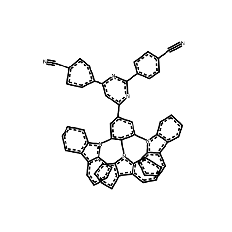 N#Cc1ccc(-c2cc(-c3cc(-n4c5ccccc5c5ccccc54)c(-n4c5ccccc5c5ccccc54)c(-n4c5ccccc5c5ccccc54)c3)nc(-c3ccc(C#N)cc3)n2)cc1